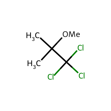 COC(C)(C)C(Cl)(Cl)Cl